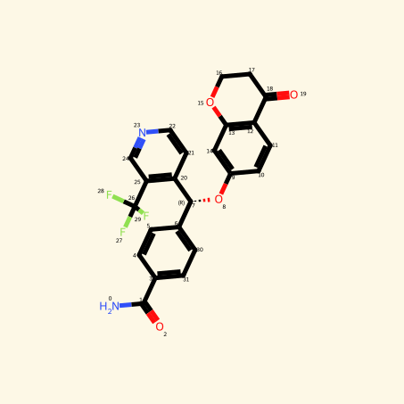 NC(=O)c1ccc([C@@H](Oc2ccc3c(c2)OCCC3=O)c2ccncc2C(F)(F)F)cc1